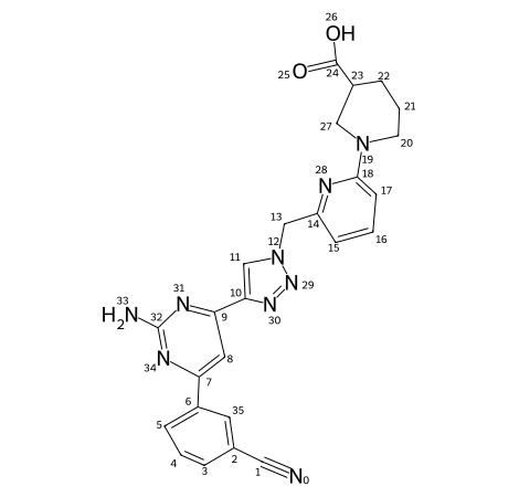 N#Cc1cccc(-c2cc(-c3cn(Cc4cccc(N5CCCC(C(=O)O)C5)n4)nn3)nc(N)n2)c1